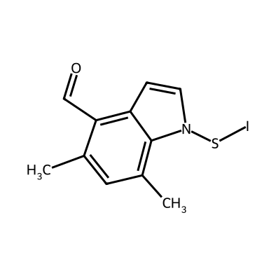 Cc1cc(C)c2c(ccn2SI)c1C=O